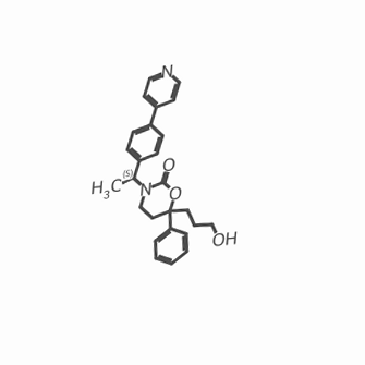 C[C@@H](c1ccc(-c2ccncc2)cc1)N1CCC(CCCO)(c2ccccc2)OC1=O